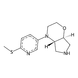 CSc1ccc(N2CCO[C@H]3CNC[C@@H]32)cn1